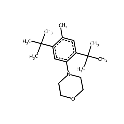 Cc1cc(C(C)(C)C)c(N2CCOCC2)cc1C(C)(C)C